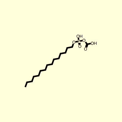 CCCCCCCCCCCCCCCOP(=O)(O)OC(=O)O